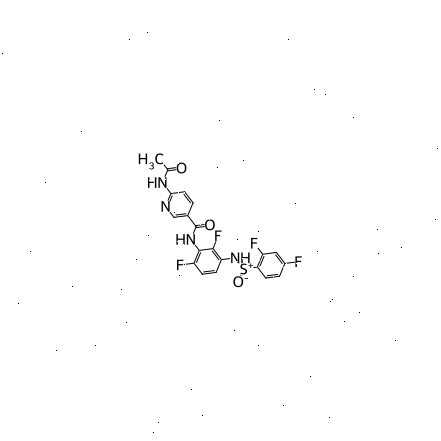 CC(=O)Nc1ccc(C(=O)Nc2c(F)ccc(N[S+]([O-])c3ccc(F)cc3F)c2F)cn1